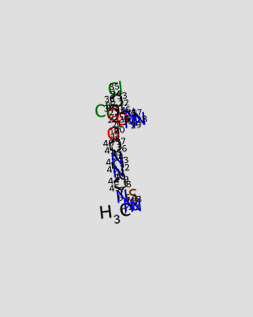 Cn1ncs/c1=N\c1ccc(N2CCN(c3ccc(OCC4COC(Cn5cncn5)(c5ccc(Cl)cc5Cl)O4)cc3)CC2)cc1